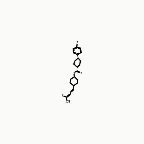 N#CC(F)=C/C=C/C1CCC(OC(=O)[C@H]2CC[C@H](c3ccc(F)cc3)CC2)CC1